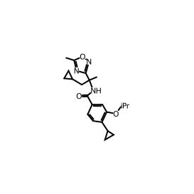 Cc1nc(C(C)(CC2CC2)NC(=O)c2ccc(C3CC3)c(OC(C)C)c2)no1